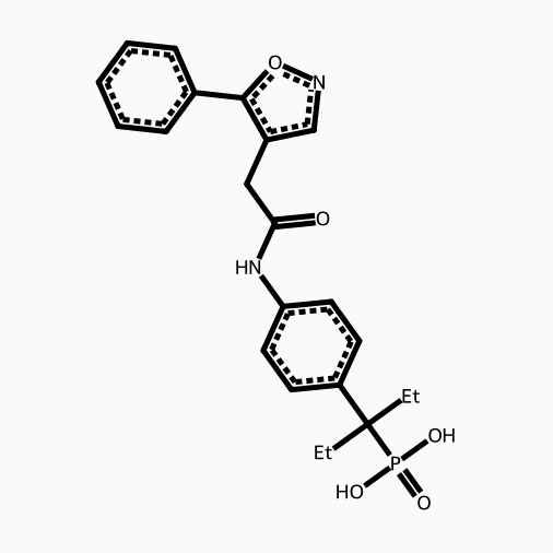 CCC(CC)(c1ccc(NC(=O)Cc2cnoc2-c2ccccc2)cc1)P(=O)(O)O